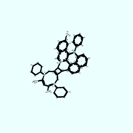 C/C1=C/C(C)=[N+](/C2CCCCC2)CC2=C(CN1C1CCCCC1)C1C2c2ccc3cccc4c3c2-c2c(c3cc(C)ccc3c[n+]21)N4c1ccccc1